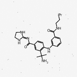 CC(C)CCNC(=O)c1cccc(Nc2ccc(C(=O)N=C3NCCN3)cc2C(C)(C)N)c1